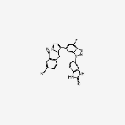 N#Cc1ccc(Cn2nccc2-c2cc(F)c3nnn(-c4ccc5[nH]c(=O)[nH]c5c4)c3c2)c(C#N)c1